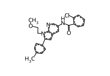 COCCn1c(-c2ccc(C)cc2)cc2cc(NC(=O)c3ccccc3Cl)cnc21